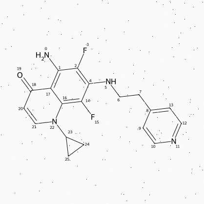 Nc1c(F)c(NCCc2ccncc2)c(F)c2c1c(=O)ccn2C1CC1